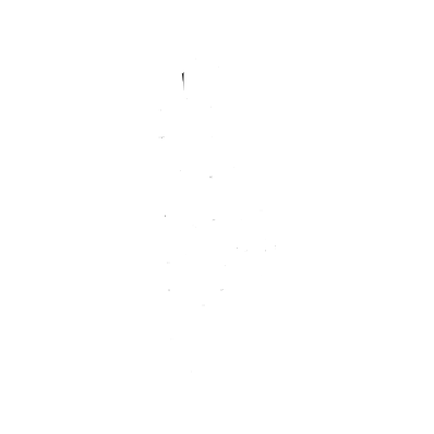 C=C[C@H]1CC[C@H](c2ccc3c4c(cccc42)C(C)(C)c2cc(CCC)ccc2-3)CC1